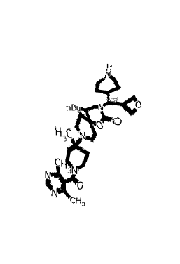 CCCCC1CN([C@@H](C2CCNCC2)C2COC2)C(=O)OC12CCN(C1(C)CCN(C(=O)c3c(C)ncnc3C)CC1)CC2